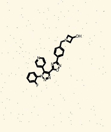 OC1CN(Cc2ccc(-c3noc(-c4nnn(-c5ccccc5F)c4-c4ccncc4)n3)cc2)C1